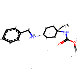 CC(C)(C)OC(=O)N[C@]1(C)CC[C@H](NCc2ccccc2)CC1